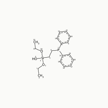 CCO[Si](O)(CCP(c1ccccc1)c1ccccc1)OCC